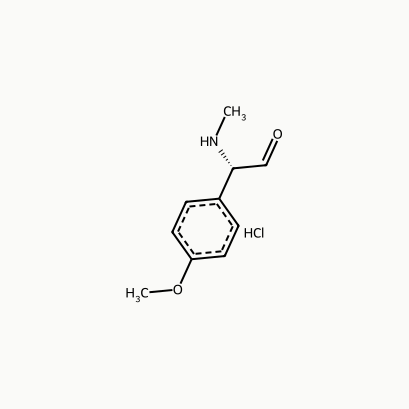 CN[C@H](C=O)c1ccc(OC)cc1.Cl